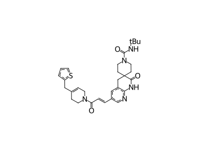 CC(C)(C)NC(=O)N1CCC2(CC1)Cc1cc(C=CC(=O)N3CC=C(Cc4cccs4)CC3)cnc1NC2=O